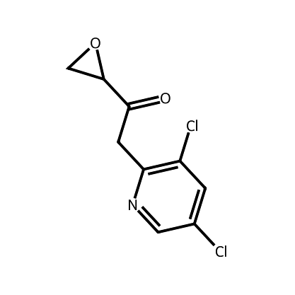 O=C(Cc1ncc(Cl)cc1Cl)C1CO1